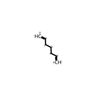 [CH]=CCCCC=[CH]